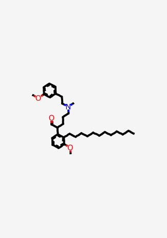 CCCCCCCCCCCCc1c(OC)cccc1C(C=O)CCCN(C)CCc1cccc(OC)c1